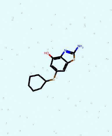 Nc1nc2c(O)cc(SC3CCCCC3)cc2s1